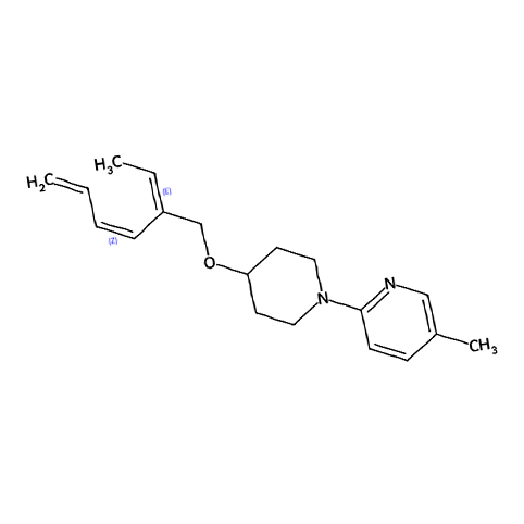 C=C/C=C\C(=C/C)COC1CCN(c2ccc(C)cn2)CC1